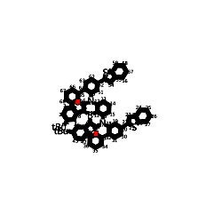 CC(C)(C)c1ccc2oc3c(c2c1)B1c2c(cccc2N(c2cc(-c4cc5ccccc5s4)ccc2-c2ccccc2)c2oc4ccc(C(C)(C)C)cc4c21)N3c1cc(-c2cc3ccccc3s2)ccc1-c1ccccc1